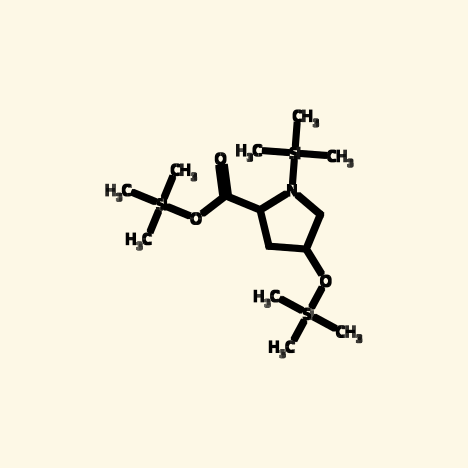 C[Si](C)(C)OC(=O)C1CC(O[Si](C)(C)C)CN1[Si](C)(C)C